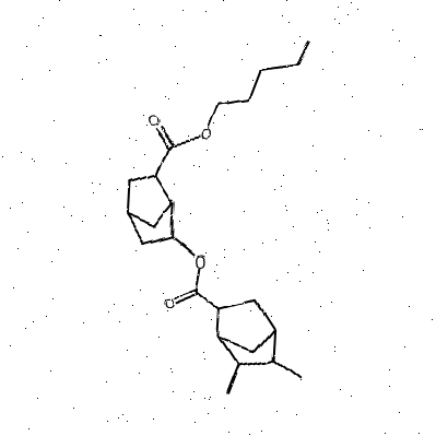 CCCCCOC(=O)C1CC2CC(OC(=O)C3CC4CC3C(C)C4C)C1C2